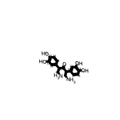 NCC(C(=O)C(CN)c1ccc(O)c(O)c1)c1ccc(O)c(O)c1